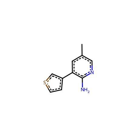 Cc1cnc(N)c(-c2ccsc2)c1